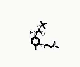 Cc1ccc(NC(=O)OC(C)(C)C)cc1OCCN(C)C